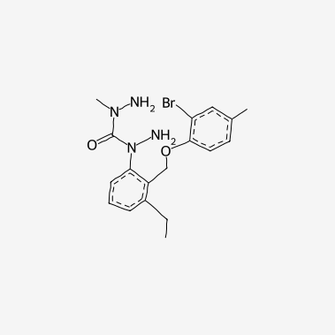 CCc1cccc(N(N)C(=O)N(C)N)c1COc1ccc(C)cc1Br